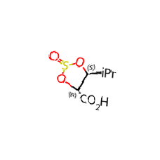 CC(C)[C@@H]1OS(=O)O[C@H]1C(=O)O